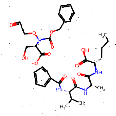 CCCC[C@H](NC(=O)[C@H](C)NC(=O)[C@@H](NC(=O)c1ccccc1)C(C)C)C(=O)O.O=CCON(C(=O)OCc1ccccc1)[C@H](CO)C(=O)O